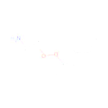 CCCC[C](C)OOCCN